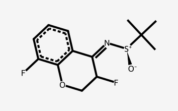 CC(C)(C)[S@@+]([O-])N=C1c2cccc(F)c2OCC1F